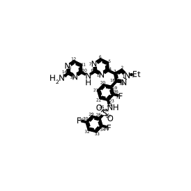 CCn1cc(-c2ccnc(Nc3ccnc(N)n3)n2)c(-c2cccc(NS(=O)(=O)c3cc(F)ccc3F)c2F)n1